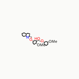 COc1cccc(OCC(O)c2cc(OCc3ccc4ccccc4n3)ccc2OC)c1